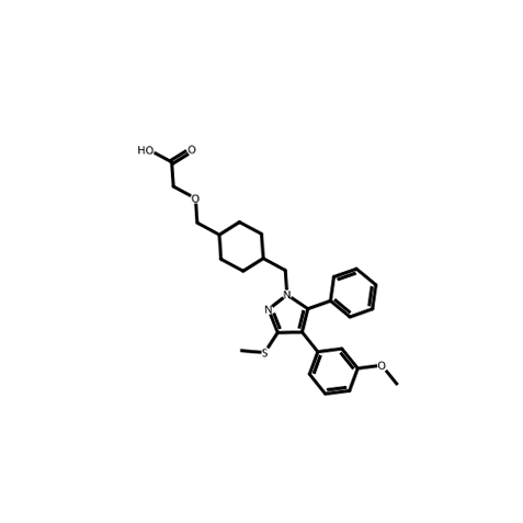 COc1cccc(-c2c(SC)nn(CC3CCC(COCC(=O)O)CC3)c2-c2ccccc2)c1